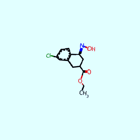 CCOC(=O)C1CC(=NO)c2ccc(Cl)cc2C1